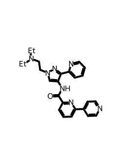 CCN(CC)CCn1cc(NC(=O)c2cccc(-c3ccncc3)n2)c(-c2ccccn2)n1